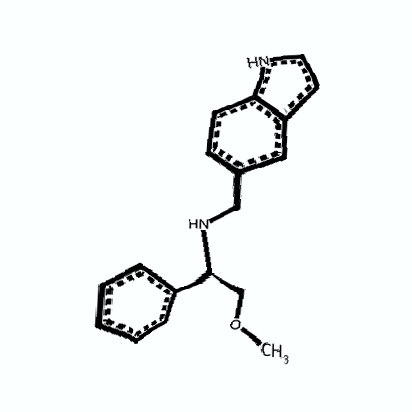 COC[C@H](NCc1ccc2[nH]ccc2c1)c1ccccc1